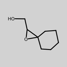 OCC1OC12CCCCC2